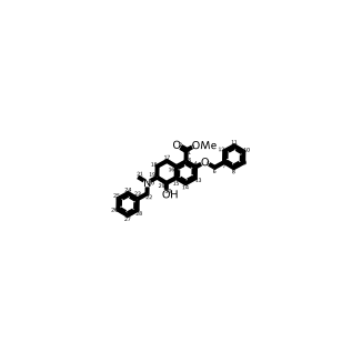 COC(=O)c1c(OCc2ccccc2)ccc2c1CCC(N(C)Cc1ccccc1)C2O